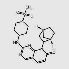 CS(=O)(=O)N1CCC(Nc2ncc3ccc(=O)n([C@H]4C[C@@H]5CC[C@H]4C5)c3n2)CC1